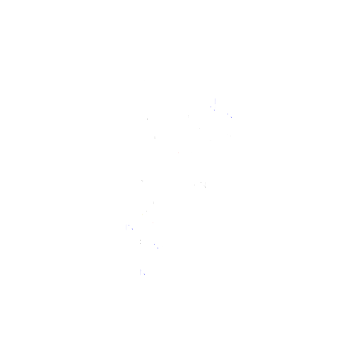 N#Cc1cc(S(=O)(=O)Nc2ncns2)ccc1Oc1ccc(C(F)(F)F)cc1-c1ccn[nH]1